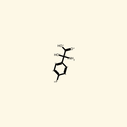 NC(O)(C(=O)O)c1ccc(F)cc1